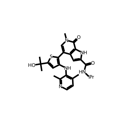 Cc1ccnc(C)c1Nc1cc(C(C)(C)O)sc1-c1cn(C)c(=O)c2[nH]c(C(=O)NC(C)C)cc12